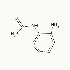 Nc1ccccc1NC(=O)P